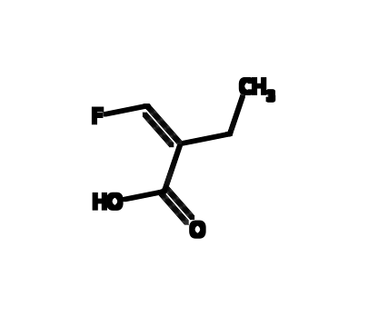 CCC(=CF)C(=O)O